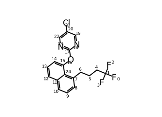 FC(F)(F)CCCc1cccc2cccc(Oc3ncc(Cl)cn3)c12